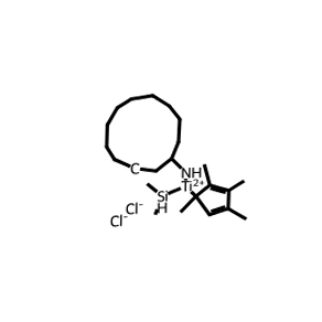 CC1=C[C](C)([Ti+2]([NH]C2CCCCCCCCCCC2)[SiH](C)C)C(C)=C1C.[Cl-].[Cl-]